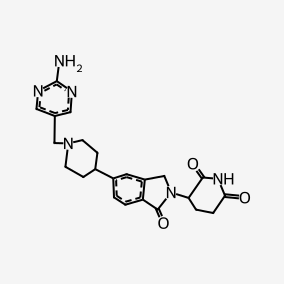 Nc1ncc(CN2CCC(c3ccc4c(c3)CN(C3CCC(=O)NC3=O)C4=O)CC2)cn1